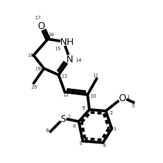 COc1cccc(SC)c1C(C)=CC1=NNC(=O)CC1C